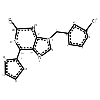 Clc1cccc(Cn2cnc3c(-c4ccco4)nc(Cl)nc32)c1